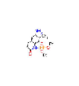 CCO[PH](=O)OCC.Nc1cc2c[c]c(=O)[nH]c2cc1C(F)(F)F